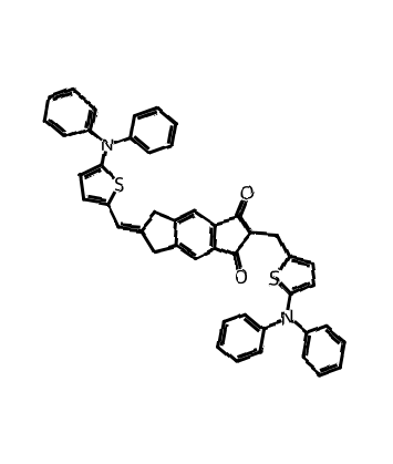 O=C1c2cc3c(cc2C(=O)C1Cc1ccc(N(c2ccccc2)c2ccccc2)s1)CC(=Cc1ccc(N(c2ccccc2)c2ccccc2)s1)C3